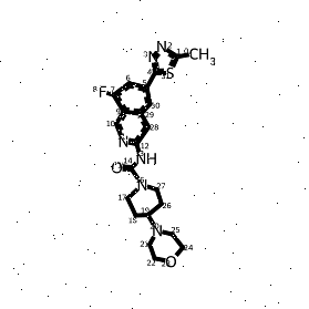 Cc1nnc(-c2cc(F)c3cnc(NC(=O)N4CCC(N5CCOCC5)CC4)cc3c2)s1